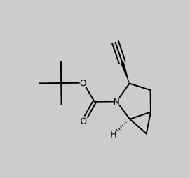 C#C[C@H]1CC2C[C@H]2N1C(=O)OC(C)(C)C